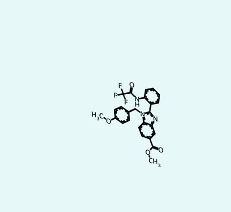 COC(=O)c1ccc2c(c1)nc(-c1ccccc1NC(=O)C(F)(F)F)n2Cc1ccc(OC)cc1